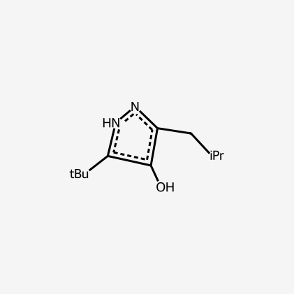 CC(C)Cc1n[nH]c(C(C)(C)C)c1O